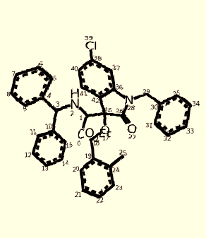 CCOC(=O)C(NC(c1ccccc1)c1ccccc1)C1(OCc2ccccc2C)C(=O)N(Cc2ccccc2)c2cc(Cl)ccc21